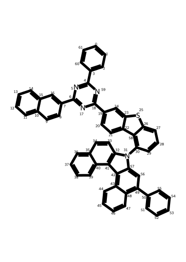 c1ccc(-c2nc(-c3ccc4ccccc4c3)nc(-c3ccc4c(c3)sc3cccc(-n5c6ccc7ccccc7c6c6c7ccccc7c(-c7ccccc7)cc65)c34)n2)cc1